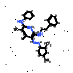 Cc1c(C#N)c(Nc2ccccc2)nc(NCCc2ccccc2)c1/N=N/c1ccc([N+](=O)[O-])cc1C(F)(F)F